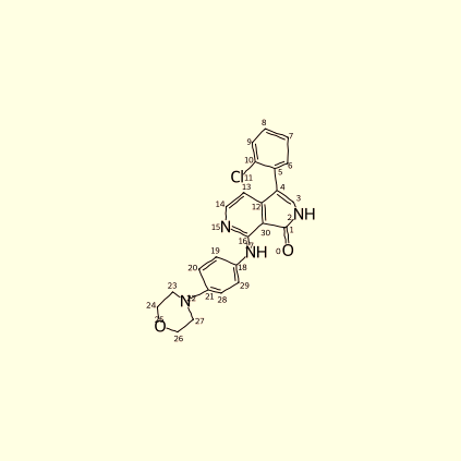 O=c1[nH]cc(-c2ccccc2Cl)c2ccnc(Nc3ccc(N4CCOCC4)cc3)c12